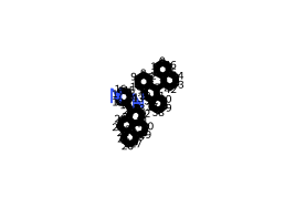 c1ccc2c(-c3c4ccccc4c(-n4c5ccncc5c5c6ccc7cccc8ccc(cc54)c6c87)c4ccccc34)cccc2c1